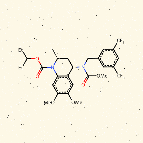 CCC(CC)OC(=O)N1c2cc(OC)c(OC)cc2[C@@H](N(Cc2cc(C(F)(F)F)cc(C(F)(F)F)c2)C(=O)OC)C[C@H]1C